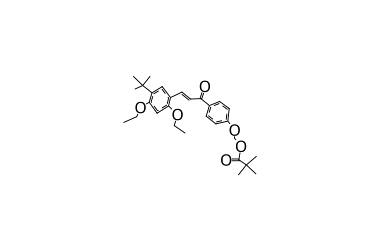 CCOc1cc(OCC)c(C(C)(C)C)cc1C=CC(=O)c1ccc(OCOC(=O)C(C)(C)C)cc1